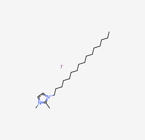 CCCCCCCCCCCCCCCC[n+]1ccn(C)c1C.[I-]